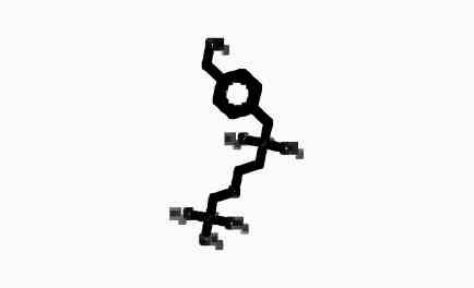 CCc1ccc(C[N+](C)(C)CCOC[N+](C)(C)C)cc1